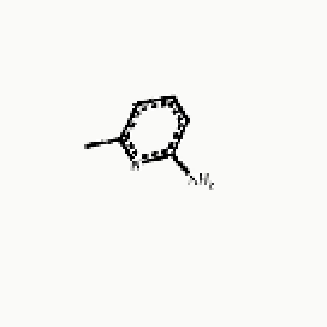 Cc1[c]ccc(N)n1